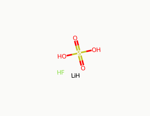 F.O=S(=O)(O)O.[LiH]